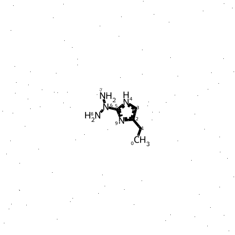 CCc1c[nH]c(N(N)N)n1